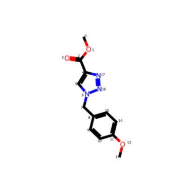 COC(=O)c1cn(Cc2ccc(OC)cc2)nn1